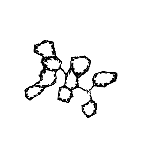 c1ccc(N(c2ccccc2)c2c3ccccc3c(-c3cc4ccccc4c4cc5ccccc5cc34)c3ccccc23)cc1